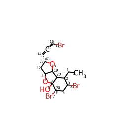 CCC1C(Br)C[C@@H](Br)C2(O)OC3C[C@H](C=C=CBr)OC3C12